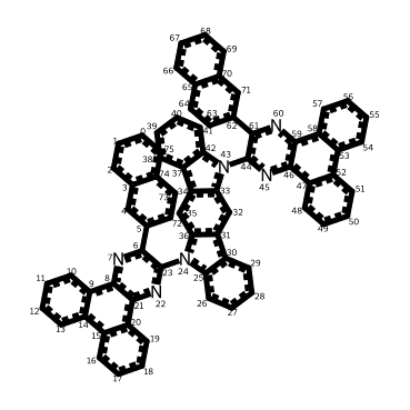 c1ccc2cc(-c3nc4c5ccccc5c5ccccc5c4nc3-n3c4ccccc4c4cc5c(cc43)c3ccccc3n5-c3nc4c5ccccc5c5ccccc5c4nc3-c3ccc4ccccc4c3)ccc2c1